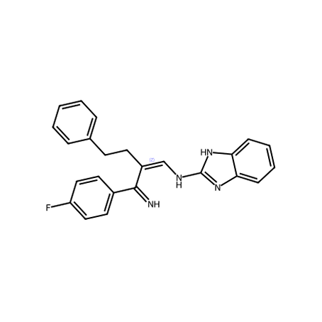 N=C(/C(=C\Nc1nc2ccccc2[nH]1)CCc1ccccc1)c1ccc(F)cc1